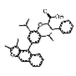 Cc1sc2cc3ccccc3c(-c3cc(C(C)C)c(OC(Cc4ccccc4)C(=O)O)c(C(C)C)c3)c2c1C